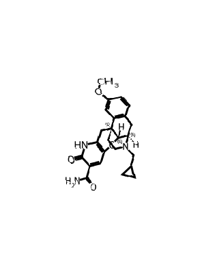 COc1ccc2c(c1)[C@]13CCN(CC4CC4)[C@H](C2)[C@@H]1Cc1cc(C(N)=O)c(=O)[nH]c1C3